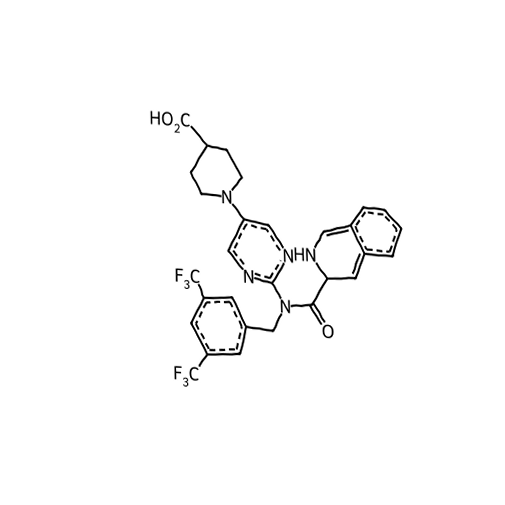 O=C(O)C1CCN(c2cnc(N(Cc3cc(C(F)(F)F)cc(C(F)(F)F)c3)C(=O)C3C=c4ccccc4=CN3)nc2)CC1